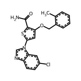 Cc1ccccc1COc1cc(-n2cnc3ccc(Cl)cc32)sc1C(N)=O